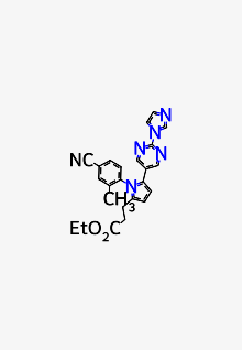 CCOC(=O)CCc1ccc(-c2cnc(-n3ccnc3)nc2)n1-c1ccc(C#N)cc1C